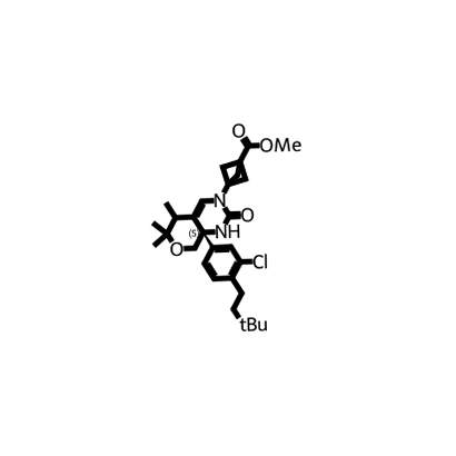 COC(=O)C12CC(N3C=C4C(C)C(C)(C)OC[C@@]4(c4ccc(CCC(C)(C)C)c(Cl)c4)NC3=O)(C1)C2